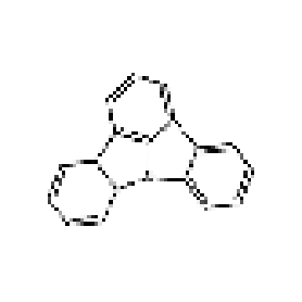 C1=CC2c3cccc4c5ccccc5n(c34)C2C=C1